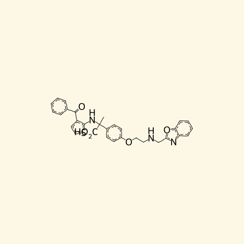 CC(Nc1sccc1C(=O)c1ccccc1)(C(=O)O)c1ccc(OCCNCc2nc3ccccc3o2)cc1